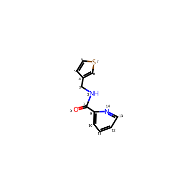 O=C(NCc1ccsc1)c1ccccn1